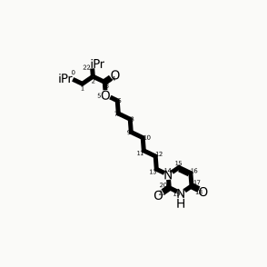 CC(C)CC(C(=O)OCCCCCCCCn1ccc(=O)[nH]c1=O)C(C)C